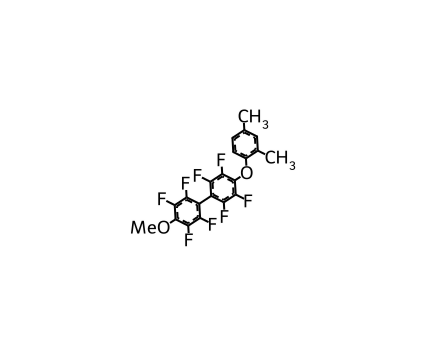 COc1c(F)c(F)c(-c2c(F)c(F)c(Oc3ccc(C)cc3C)c(F)c2F)c(F)c1F